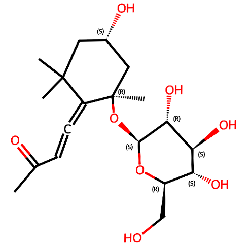 CC(=O)C=C=C1C(C)(C)C[C@H](O)C[C@@]1(C)O[C@@H]1O[C@H](CO)[C@@H](O)[C@H](O)[C@H]1O